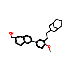 COc1ccc(-c2ccc3cc(CO)ccc3c2)cc1CCC1CC2CCCC(C2)C1